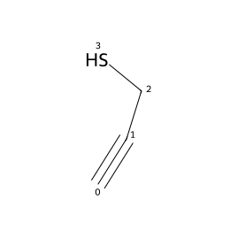 C#CCS